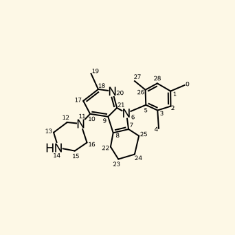 Cc1cc(C)c(-n2c3c(c4c(N5CCNCC5)cc(C)nc42)CCCC3)c(C)c1